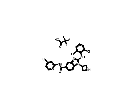 O=C(Nc1cc(Cl)ccn1)c1ccc2c(c1)nc(Nc1c(Cl)cccc1Cl)n2C1CNC1.O=C(O)C(F)(F)F